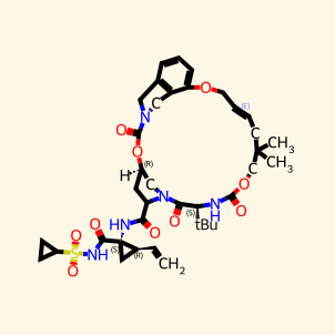 C=C[C@H]1C[C@@]1(NC(=O)C1C[C@@H]2CN1C(=O)[C@H](C(C)(C)C)NC(=O)OCC(C)(C)C/C=C/COc1cccc3c1CN(C3)C(=O)O2)C(=O)NS(=O)(=O)C1CC1